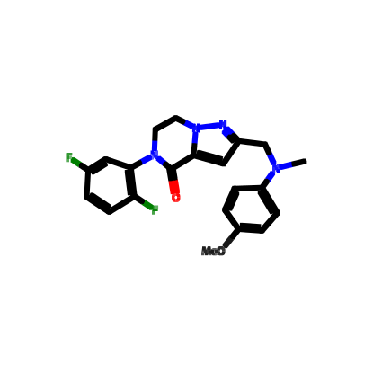 COc1ccc(N(C)Cc2cc3n(n2)CCN(c2cc(F)ccc2F)C3=O)cc1